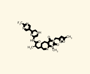 Cc1cc(Cn2c(=O)c3c(n(C)c2=O)N=CC(C[C@@H](C)C(=O)NC2=CNCC(c4cnc(C(F)(F)F)nc4)=N2)CC3)no1